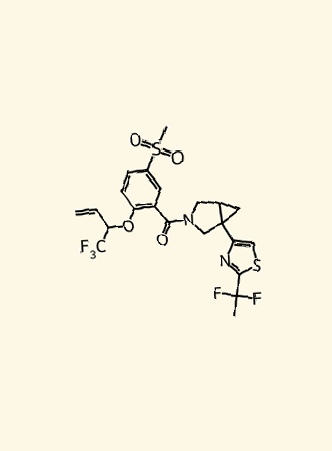 C=CC(Oc1ccc(S(C)(=O)=O)cc1C(=O)N1CC2CC2(c2csc(C(C)(F)F)n2)C1)C(F)(F)F